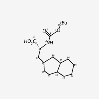 CC(C)(C)OC(=O)N[C@H](CC1CCC2CCCCC2C1)C(=O)O